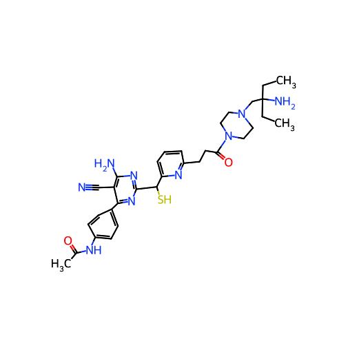 CCC(N)(CC)CN1CCN(C(=O)CCc2cccc(C(S)c3nc(N)c(C#N)c(-c4ccc(NC(C)=O)cc4)n3)n2)CC1